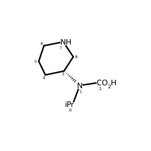 CC(C)N(C(=O)O)[C@@H]1CCCNC1